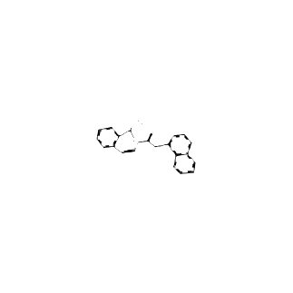 N#CC1c2ccccc2C=CN1C(=O)Cc1cccc2ccccc12